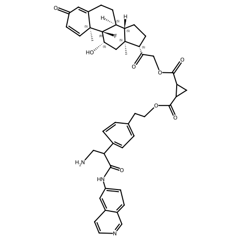 C[C@]12C[C@H](O)[C@@]3(F)[C@@H](CCC4=CC(=O)C=C[C@@]43C)[C@@H]1CC[C@@H]2C(=O)COC(=O)C1CC1C(=O)OCCc1ccc(C(CN)C(=O)Nc2ccc3cnccc3c2)cc1